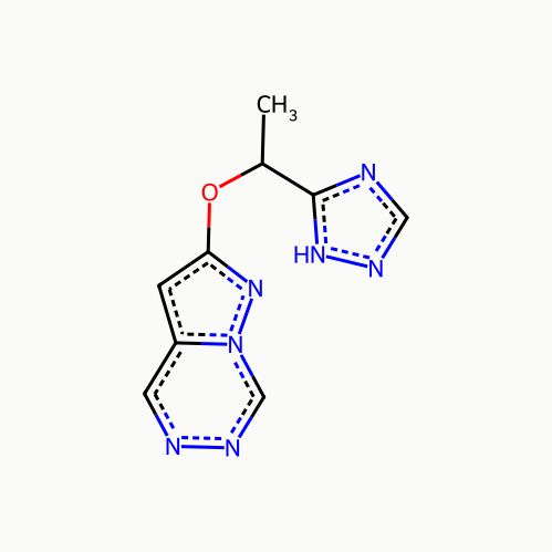 CC(Oc1cc2cnncn2n1)c1ncn[nH]1